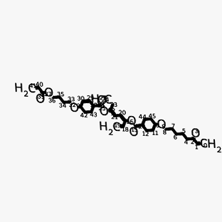 C=CC(=O)CCCCCOC1CCC(C(=O)O/C(C=C)=C/C=C(\CC)OC(=O)C2C=CC(OCCCCOC(=O)C=C)CC2)CC1